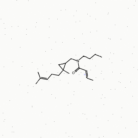 C/C=C/C(=O)N(CCCC)CC1CC1(C)CCC=C(C)C